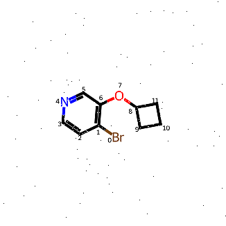 Brc1ccncc1OC1CCC1